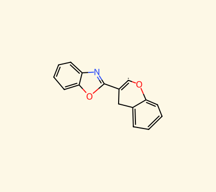 [C]1=C(c2nc3ccccc3o2)Cc2ccccc2O1